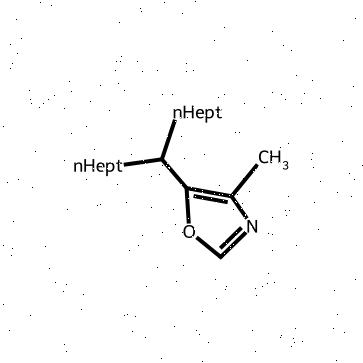 CCCCCCCC(CCCCCCC)c1ocnc1C